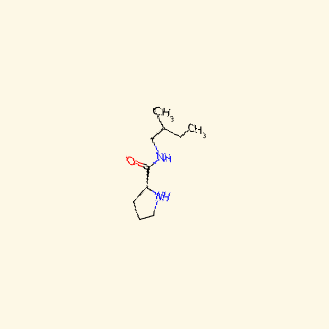 CCC(C)CNC(=O)[C@@H]1CCCN1